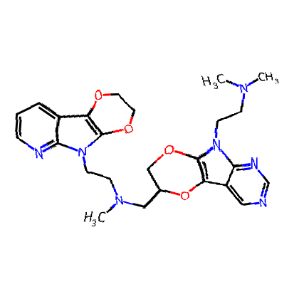 CN(C)CCn1c2c(c3cncnc31)OC(CN(C)CCn1c3c(c4cccnc41)OCCO3)CO2